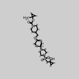 CC1(OC(=O)N2CCC(COc3cnc(N4CCN(S(=O)(=O)CC5(O)CC5)CC4)cn3)CC2)CC1